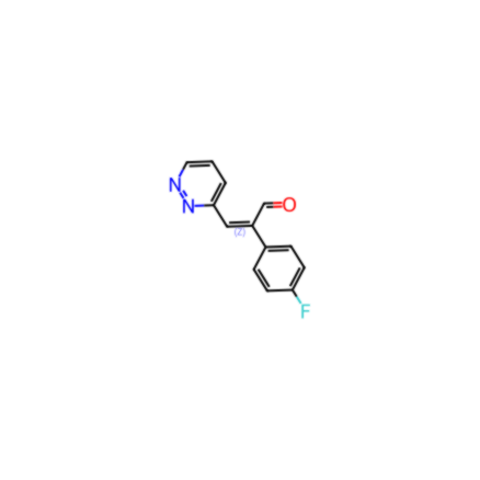 O=C/C(=C\c1cccnn1)c1ccc(F)cc1